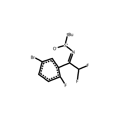 CC(C)(C)[S+]([O-])/N=C(\c1cc(Br)ccc1F)C(F)F